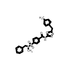 Cc1ccc(Cc2nnc(NC(=O)c3ccc(S(=O)(=O)N(C)Cc4ccccc4)cc3)o2)cc1